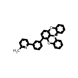 Cc1cccc(-c2cccc(-c3ccc4c5c3Oc3ccccc3P5(=O)c3ccccc3O4)c2)n1